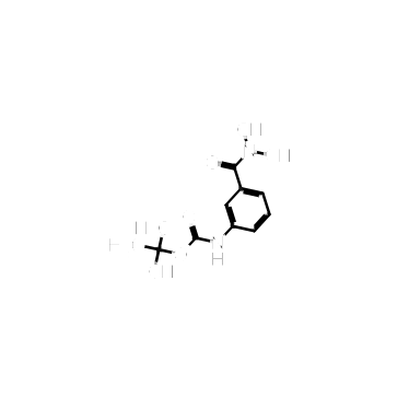 CN(C)C(=O)c1cccc(NC(=O)OC(C)(C)C)c1